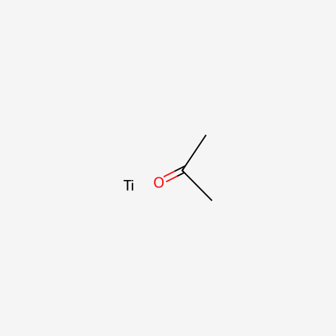 CC(C)=O.[Ti]